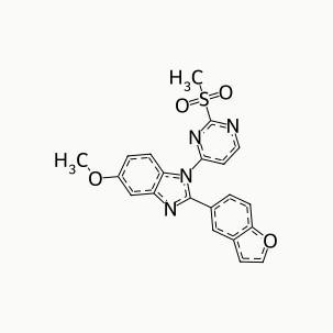 COc1ccc2c(c1)nc(-c1ccc3occc3c1)n2-c1ccnc(S(C)(=O)=O)n1